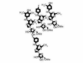 COC[C@H]1O[C@@H](n2cnc3c(Nc4cc(C)c(O)c(C)c4)nc(C)nc32)[C@H](O)[C@@H]1O.COC[C@H]1O[C@@H](n2cnc3c(Nc4ccc(F)cc4)nc(C)nc32)[C@H](O)[C@@H]1O.COC[C@H]1O[C@@H](n2cnc3c(Nc4ccc(O)c(C)c4)nc(C)nc32)[C@H](O)[C@@H]1O.COC[C@H]1O[C@@H](n2cnc3c(Nc4cccc(F)c4)nc(C)nc32)[C@H](O)[C@@H]1O